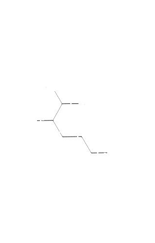 CCC(CCCC(=O)O)C(CC)C(=O)O